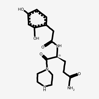 NC(=O)CC[C@H](NC(=O)Cc1ccc(O)cc1O)C(=O)N1CCNCC1